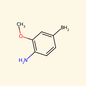 Bc1ccc(N)c(OC)c1